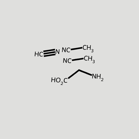 C#N.CC#N.CC#N.NCC(=O)O